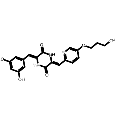 CCCCOc1ccc(C=c2[nH]c(=O)c(=Cc3cc(O)cc(O)c3)[nH]c2=O)nc1